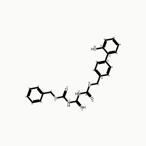 N=C(NC(=O)OCc1ccccc1)NC(=O)OCc1ccc(-c2ccccc2O)cc1